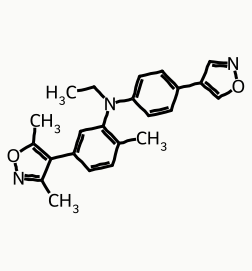 CCN(c1ccc(-c2cnoc2)cc1)c1cc(-c2c(C)noc2C)ccc1C